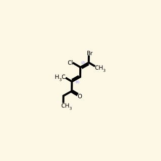 CCC(=O)/C(C)=C/C(Cl)=C(\C)Br